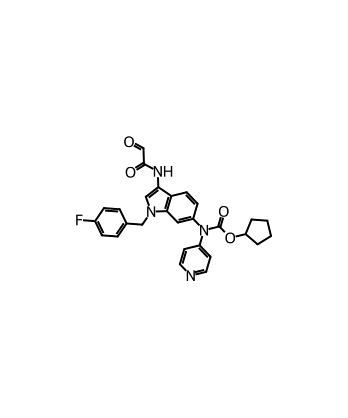 O=CC(=O)Nc1cn(Cc2ccc(F)cc2)c2cc(N(C(=O)OC3CCCC3)c3ccncc3)ccc12